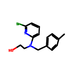 Cc1ccc(CN(CCO)c2cccc(Br)n2)cc1